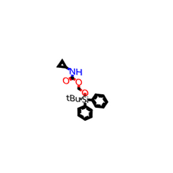 CC(C)(C)[Si](OCOC(=O)NC1CC1)(c1ccccc1)c1ccccc1